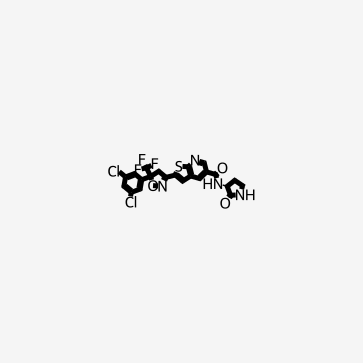 O=C(N[C@@H]1CCNC1=O)c1cnc2sc(C3=NOC(c4cc(Cl)cc(Cl)c4)(C(F)(F)F)C3)cc2c1